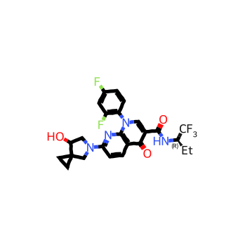 CC[C@@H](NC(=O)c1cn(-c2ccc(F)cc2F)c2nc(N3CC(O)C4(CC4)C3)ccc2c1=O)C(F)(F)F